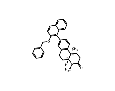 CN1C(=O)CC[C@]2(C)c3ccc(-c4c(OCc5ccccc5)ccc5ccccc45)cc3CC[C@@H]12